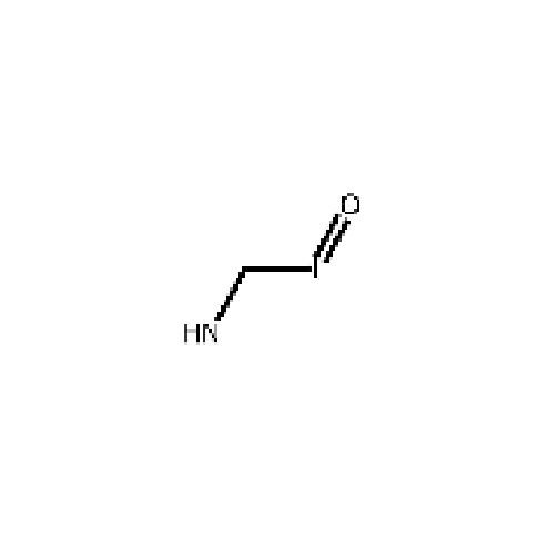 [NH]CI=O